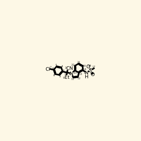 CCC(C#N)(c1ccc(Cl)cc1)n1ccc2c(NS(C)(=O)=O)cccc21